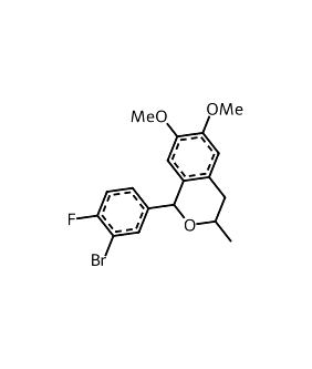 COc1cc2c(cc1OC)C(c1ccc(F)c(Br)c1)OC(C)C2